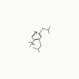 CC(C)Cc1cc(CC(C)C)c([Si](C)(C)C)cn1